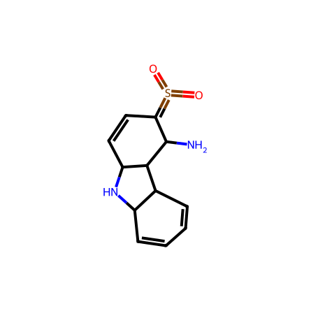 NC1C(=S(=O)=O)C=CC2NC3C=CC=CC3C21